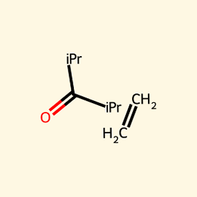 C=C.CC(C)C(=O)C(C)C